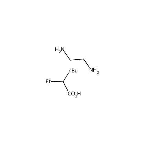 CCCCC(CC)C(=O)O.NCCN